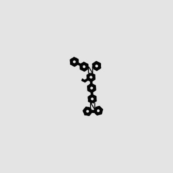 CCc1cc(N(c2ccccc2)c2ccc(-c3ccccc3)cc2)ccc1-c1ccc(-c2ccc(-n3c4ccccc4c4ccccc43)cc2)cc1